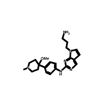 COC1(c2ccc(Nc3ncc4ccn(CCCN)c4n3)cc2)CCN(C)CC1